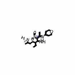 CCC(CCC(C)N)C(=N)/C(=C(/C)NC1CCOCC1)[N+](=O)[O-]